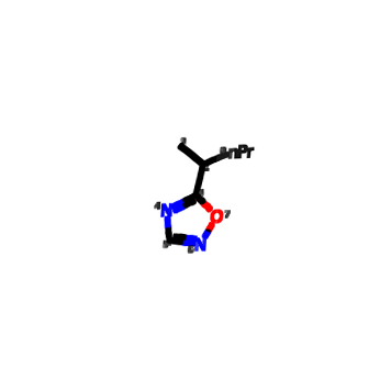 CCCC(C)c1n[c]no1